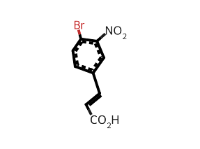 O=C(O)C=Cc1ccc(Br)c([N+](=O)[O-])c1